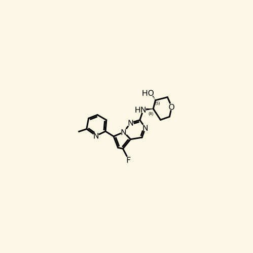 Cc1cccc(-c2cc(F)c3cnc(N[C@@H]4CCOC[C@H]4O)nn23)n1